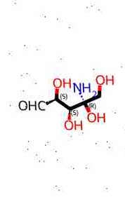 N[C@@](O)(CO)[C@@H](O)[C@H](O)C=O